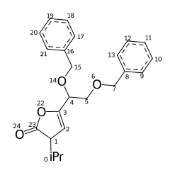 CC(C)C1C=C(C(COCc2ccccc2)OCc2ccccc2)OC1=O